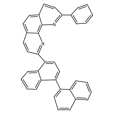 c1ccc(-c2ccc3ccc4ccc(-c5ccc(-c6cccc7ccccc67)c6ccccc56)nc4c3n2)cc1